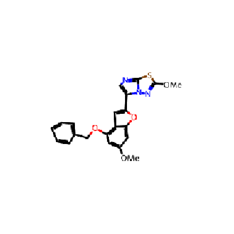 COc1cc(OCc2ccccc2)c2cc(-c3cnc4sc(OC)nn34)oc2c1